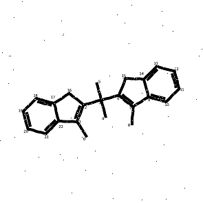 CC1=C(C(C)(C)C2=C(C)c3ccccc3[CH]2)[CH]c2ccccc21